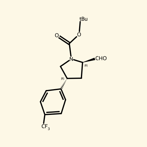 CC(C)(C)OC(=O)N1C[C@@H](c2ccc(C(F)(F)F)cc2)C[C@@H]1C=O